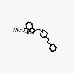 COc1cccc2c(CN3CC=C(CCc4ccccc4)CC3)c[nH]c12